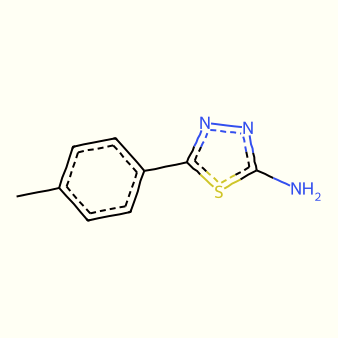 Cc1ccc(-c2nnc(N)s2)cc1